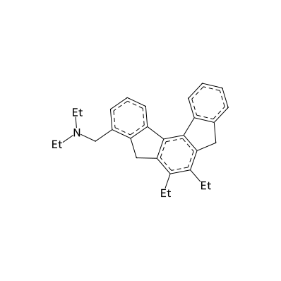 CCc1c(CC)c2c(c3c1Cc1ccccc1-3)-c1cccc(CN(CC)CC)c1C2